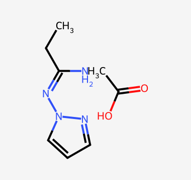 CC(=O)O.CCC(N)=Nn1cccn1